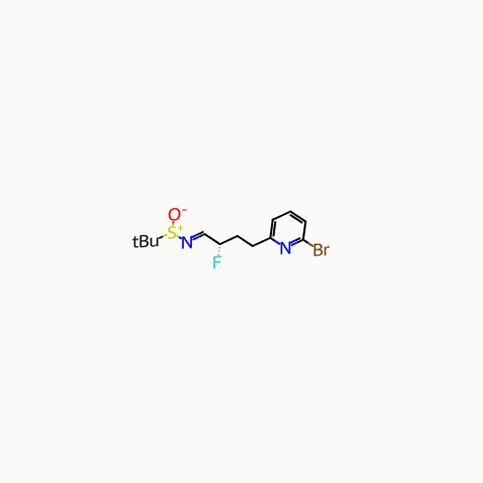 CC(C)(C)[S+]([O-])/N=C/[C@@H](F)CCc1cccc(Br)n1